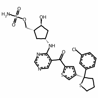 NS(=O)(=O)OC[C@H]1C[C@@H](Nc2ncncc2C(=O)c2cc([C@]3(c4cccc(Cl)c4)CCCS3)cs2)C[C@@H]1O